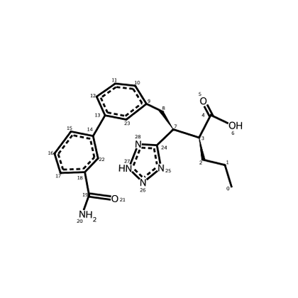 CCC[C@H](C(=O)O)[C@H](Cc1cccc(-c2cccc(C(N)=O)c2)c1)c1nn[nH]n1